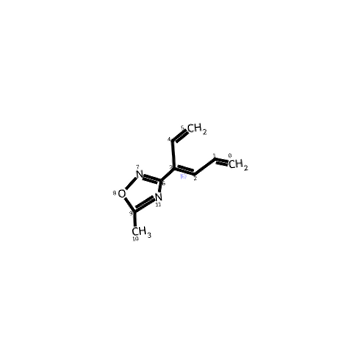 C=C/C=C(\C=C)c1noc(C)n1